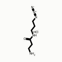 Cl.[N-]=[N+]=NCCCNC(=O)CCN